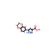 COC(=O)c1cc(-c2ccc3c(c2)OCCO3)[nH]n1